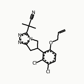 C=CCOc1ccc(Cl)c(Cl)c1C1Cc2nnc(C(C)(C)C#N)n2C1